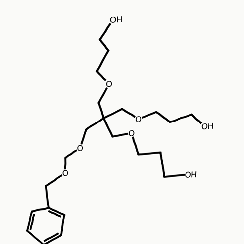 OCCCOCC(COCCCO)(COCCCO)COCOCc1ccccc1